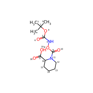 CC(C)(C)OC(=O)NOC(=O)N1CCCCC1C(=O)O